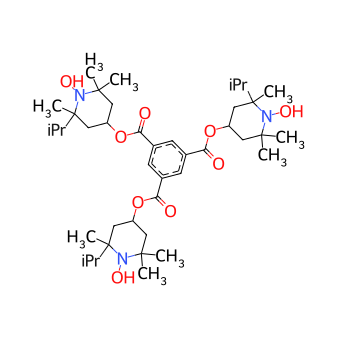 CC(C)C1(C)CC(OC(=O)c2cc(C(=O)OC3CC(C)(C)N(O)C(C)(C(C)C)C3)cc(C(=O)OC3CC(C)(C)N(O)C(C)(C(C)C)C3)c2)CC(C)(C)N1O